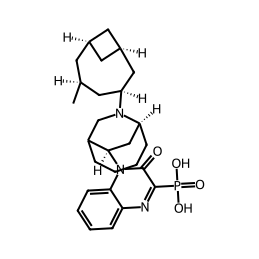 C[C@@H]1C[C@H](N2CC3CCCC[C@H]2C[C@H]3n2c(=O)c(P(=O)(O)O)nc3ccccc32)C[C@H]2C[C@@H](C1)C2